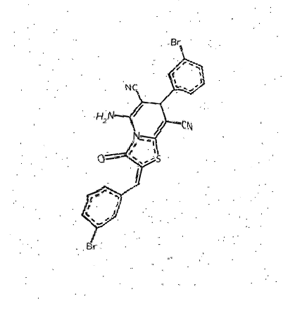 N#CC1=C(N)n2c(sc(=Cc3cccc(Br)c3)c2=O)=C(C#N)C1c1cccc(Br)c1